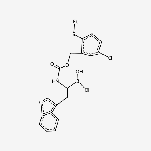 CCSc1ccc(Cl)cc1COC(=O)NC(Cc1coc2ccccc12)B(O)O